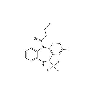 O=C(CCF)N1c2ccccc2NC(C(F)(F)F)c2cc(F)ccc21